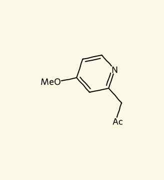 COc1ccnc(CC(C)=O)c1